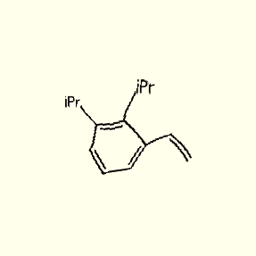 C=Cc1cccc(C(C)C)c1C(C)C